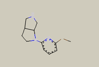 CSc1cccc(N2CCC3CNCC32)n1